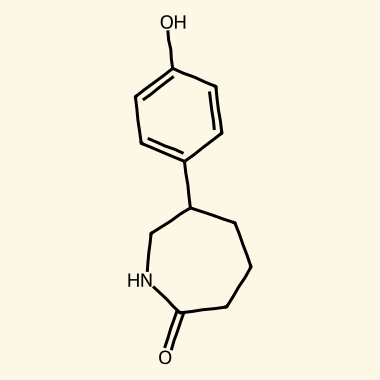 O=C1CCCC(c2ccc(O)cc2)CN1